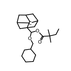 CCC(C)(C)C(=O)OC(OCC1CCCCC1)C12CC3CC(CC(C3)C1)C2